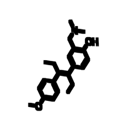 CC/C(=C(/CC)c1ccc(O)c(CN(C)C)c1)c1ccc(OC)cc1